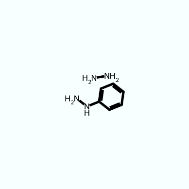 NN.NNc1ccccc1